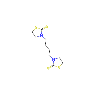 S=C1SCCN1CCCCN1CCSC1=S